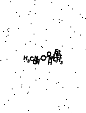 CCN(CC)C[C@@H](C)NC(=O)c1ccc(-c2noc(C)n2)cc1